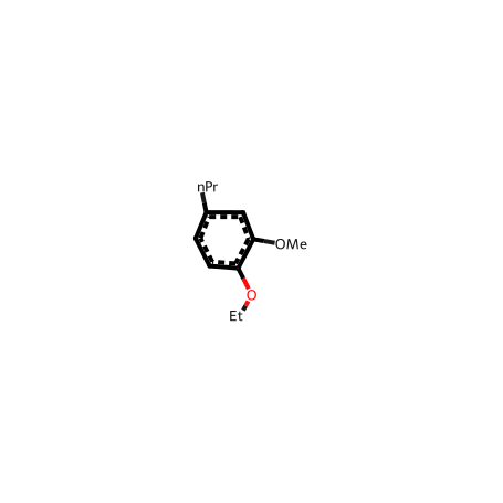 [CH2]COc1ccc(CCC)cc1OC